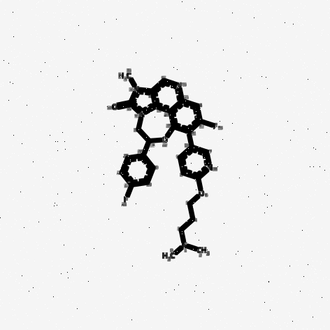 CN(C)CCCOc1ccc(-c2c(F)cc3ncc4c5c3c2OC(c2ccc(F)cc2)Cn5c(=O)n4C)cn1